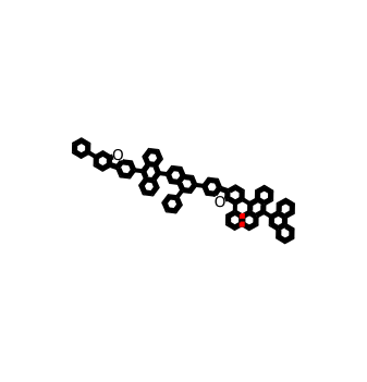 c1ccc(-c2ccc3c(c2)oc2cc(-c4c5ccccc5c(-c5ccc6cc(-c7ccc8c(c7)oc7c(-c9ccccc9)c(-c9c%10ccccc%10c(-c%10cc%11ccccc%11c%11ccccc%10%11)c%10ccccc9%10)ccc78)cc(-c7ccccc7)c6c5)c5ccccc45)ccc23)cc1